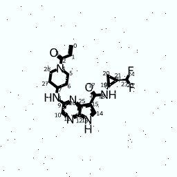 C=CC(=O)N1CCC(Nc2cnc3[nH]cc(C(=O)N[C@@H]4C[C@H]4C(F)F)c3n2)CC1